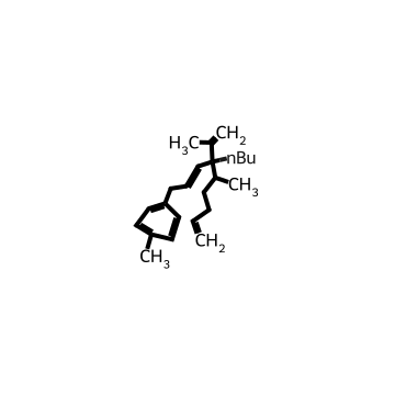 C=CCCC(C)C(C=CCc1ccc(C)cc1)(CCCC)C(=C)C